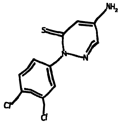 Nc1cnn(-c2ccc(Cl)c(Cl)c2)c(=S)c1